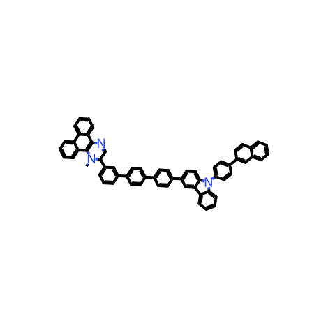 CN1c2c(c3ccccc3c3ccccc23)N=CC1c1cccc(-c2ccc(-c3ccc(-c4ccc5c(c4)c4ccccc4n5-c4ccc(-c5ccc6ccccc6c5)cc4)cc3)cc2)c1